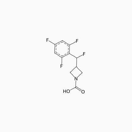 O=C(O)N1CC(C(F)c2c(F)cc(F)cc2F)C1